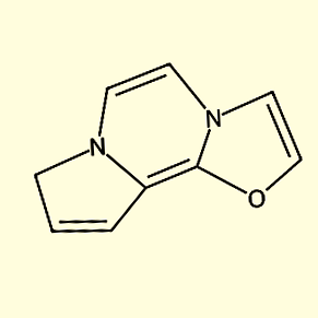 C1=CC2=C3OC=CN3C=CN2C1